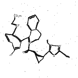 Cc1nc(C)c(C2CC2C(=O)N2CCc3ccccc3C2c2cc(Cl)ccc2OCC(=O)O)s1